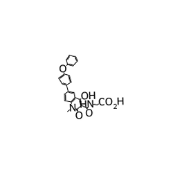 Cn1c(=O)c(C(=O)NCC(=O)O)c(O)c2cc(-c3ccc(Oc4ccccc4)cc3)ccc21